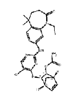 CCN1C(=O)CCC(C)(C)c2ccc(Nc3ncc(Cl)c(N[C@H]4[C@@H](OC(N)=O)[C@@H]5C=C[C@H]4C5)n3)cc21